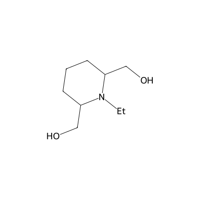 [CH2]CN1C(CO)CCCC1CO